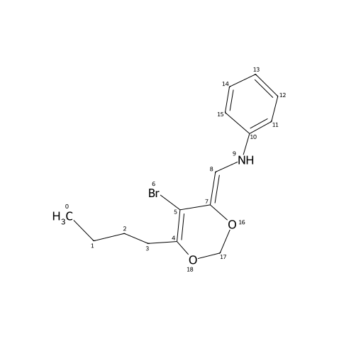 CCCCC1=C(Br)/C(=C/Nc2ccccc2)OCO1